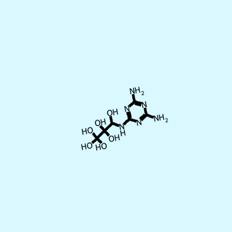 Nc1nc(N)nc(NC(O)C(O)(O)C(O)(O)O)n1